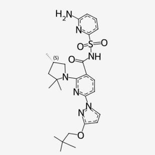 C[C@@H]1CN(c2nc(-n3ccc(OCC(C)(C)C)n3)ccc2C(=O)NS(=O)(=O)c2cccc(N)n2)C(C)(C)C1